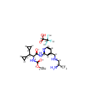 CC(C)(C)OC(=O)N[C@H](C(=O)Nc1cc(CNC[C@H](N)C(F)(F)F)ccn1)C(C1CC1)C1CC1.O=C(O)C(F)(F)F